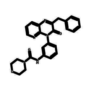 O=C(Nc1cccc(-n2c(=O)c(Cc3ccccc3)nc3cccnc32)c1)N1CCOCC1